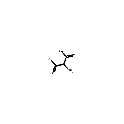 NC(C(=O)Cl)C(=O)Cl